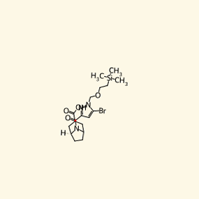 C[Si](C)(C)CCOCn1nc(C(=O)N2C3CC[C@H]2CC(C(=O)O)C3)cc1Br